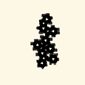 c1ccc(-n2c3ccccc3c3ccc([Si](c4ccccc4)(c4ccccc4)c4ccc(-n5c6ccccc6c6c7c(ccc65)sc5ccccc57)cc4)cc32)cc1